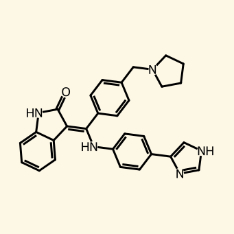 O=C1Nc2ccccc2C1=C(Nc1ccc(-c2c[nH]cn2)cc1)c1ccc(CN2CCCC2)cc1